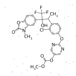 COC(=O)Oc1cnc(Oc2ccc(C(C)C(O)(c3ccc4oc(=O)n(C)c4c3)C(F)(F)F)c(Cl)c2)nc1